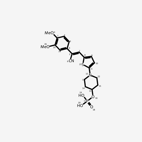 COc1ccc(C(C#N)=Cc2ccc(N3CCC(OP(=O)(O)O)CC3)s2)cc1OC